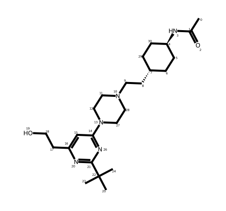 CC(=O)N[C@H]1CC[C@H](CCN2CCN(c3cc(CCO)nc(C(C)(C)C)n3)CC2)CC1